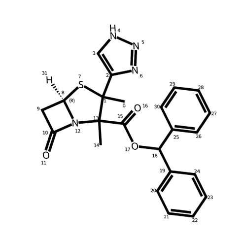 CC1(c2c[nH]nn2)S[C@@H]2CC(=O)N2C1(C)C(=O)OC(c1ccccc1)c1ccccc1